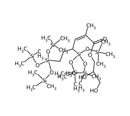 CC(=CC(CC[Si](O[Si](C)(C)C)(O[Si](C)(C)C)O[Si](C)(C)C)[Si](O[Si](C)(C)C)(O[Si](C)(C)C)O[Si](C)(C)C)C(=O)OCC(O)CO